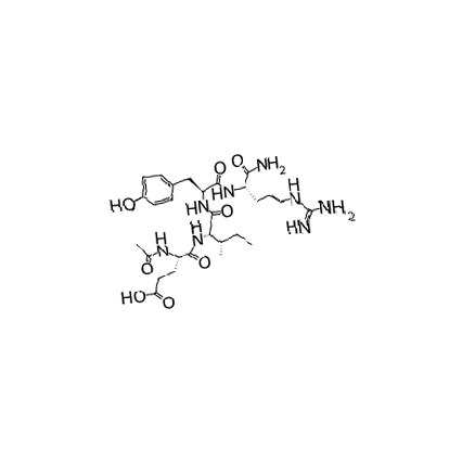 CC[C@H](C)[C@H](NC(=O)[C@H](CCC(=O)O)NC(C)=O)C(=O)N[C@@H](Cc1ccc(O)cc1)C(=O)N[C@@H](CCCNC(=N)N)C(N)=O